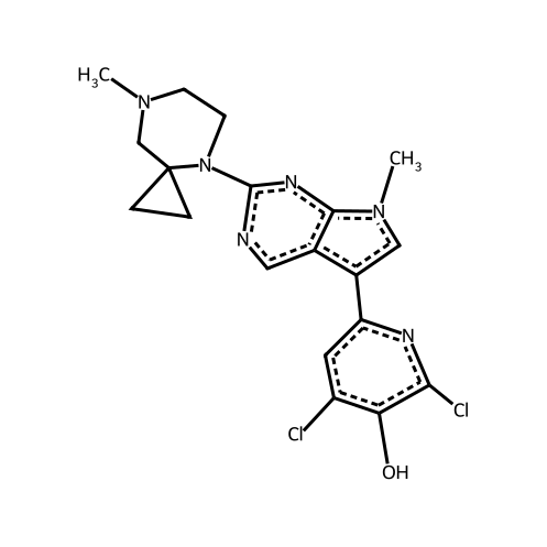 CN1CCN(c2ncc3c(-c4cc(Cl)c(O)c(Cl)n4)cn(C)c3n2)C2(CC2)C1